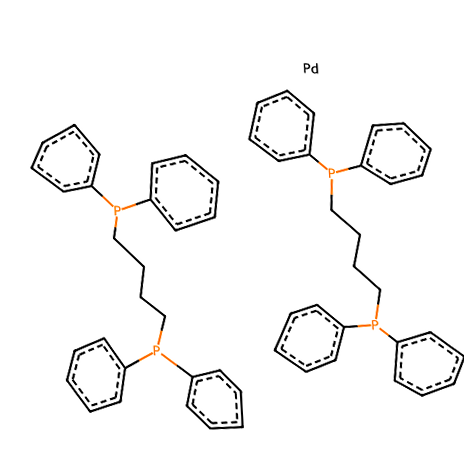 [Pd].c1ccc(P(CCCCP(c2ccccc2)c2ccccc2)c2ccccc2)cc1.c1ccc(P(CCCCP(c2ccccc2)c2ccccc2)c2ccccc2)cc1